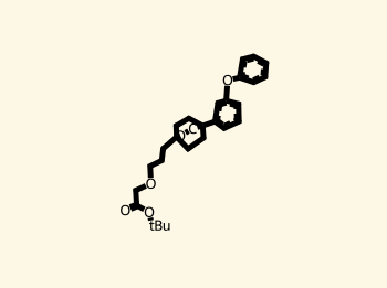 CC(C)(C)OC(=O)COCCCC12CCC(c3cccc(Oc4ccccc4)c3)(CC1)CO2